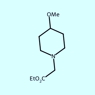 CCOC(=O)CN1CCC(OC)CC1